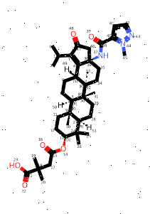 CC(C)C1=C2[C@H]3CC[C@@H]4[C@@]5(C)CC[C@H](OC(=O)CC(C)(C)C(=O)O)C(C)(C)[C@@H]5CC[C@@]4(C)[C@]3(C)CC[C@@]2(NC(=O)c2ccnn2C)CC1=O